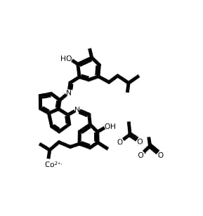 CC(=O)[O-].CC(=O)[O-].Cc1cc(CCC(C)C)cc(C=Nc2cccc3cccc(N=Cc4cc(CCC(C)C)cc(C)c4O)c23)c1O.[Co+2]